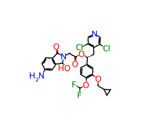 Nc1ccc2c(c1)C(O)N(CC(=O)O[C@@H](Cc1c(Cl)cncc1Cl)c1ccc(OC(F)F)c(OCC3CC3)c1)C2=O